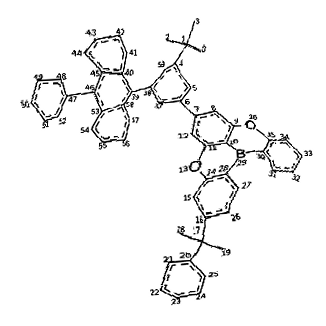 CC(C)(C)c1cc(-c2cc3c4c(c2)Oc2cc(C(C)(C)c5ccccc5)ccc2B4c2ccccc2O3)cc(-c2c3ccccc3c(-c3ccccc3)c3ccccc23)c1